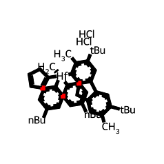 Cl.Cl.[CH2]=[Hf]([C]1=CC=CC1)([c]1ccc(CCCC)cc1)([c]1ccc(CCCC)cc1)[c]1c(C)c(C(C)(C)C)cc2c1Cc1cc(C)c(C(C)(C)C)cc1-2